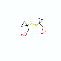 OCC1(SSC2(CO)CC2)CC1